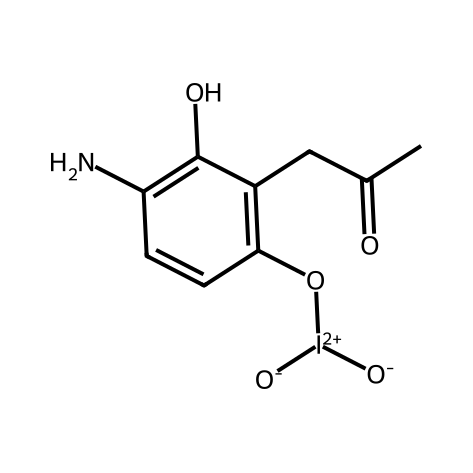 CC(=O)Cc1c(O[I+2]([O-])[O-])ccc(N)c1O